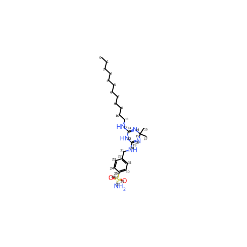 CCCCCCCCCCCCNC1=NC(C)(C)N=C(NCc2ccc(S(N)(=O)=O)cc2)N1